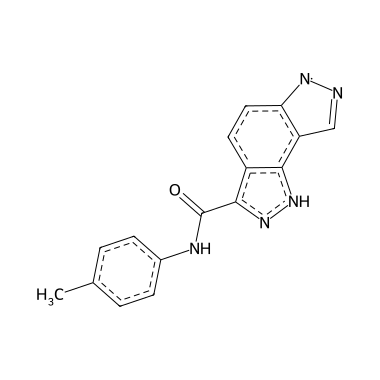 Cc1ccc(NC(=O)c2n[nH]c3c4c(ccc23)[N]N=C4)cc1